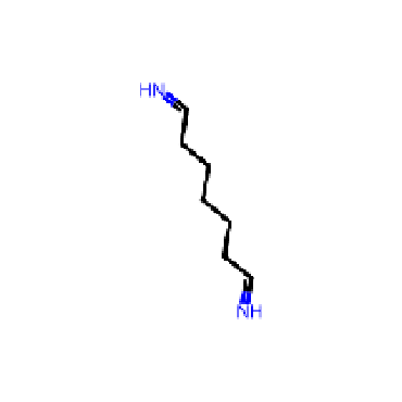 N=CCCCCCC=N